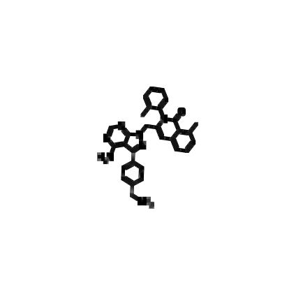 Cc1ccccc1-n1c(Cn2nc(-c3ccc(CN)cc3)c3c(N)ncnc32)cc2cccc(C)c2c1=O